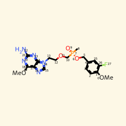 COc1ccc(COP(C)(=O)COCCn2cnc3c(OC)nc(N)nc32)cc1F